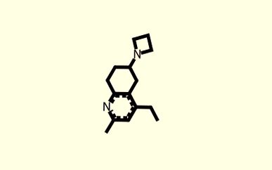 CCc1cc(C)nc2c1CC(N1CCC1)CC2